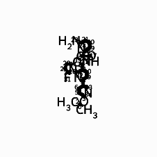 CC(C)Oc1ccc(-c2ccc(C(=O)NS(=O)(=O)c3cccc(N)n3)c(N3CCCC3F)n2)cn1